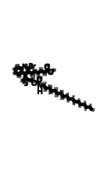 CCCCCCCCCCCCCCCCCCNC(=O)OCC1SCC1c1c(CCCCCC(=O)OC)c(Br)nc2ccccc12